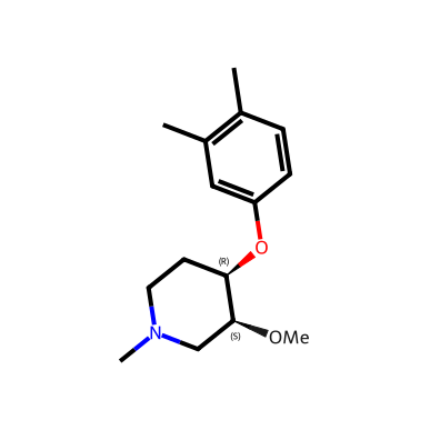 CO[C@H]1CN(C)CC[C@H]1Oc1ccc(C)c(C)c1